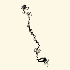 Bc1ccc(OCCCCNC(=O)CCOCCOCCOCCOCCOCCOCCOCCOCCNC(=O)CCN2C(=O)C=CC2=O)cc1